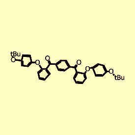 CC(C)(C)Oc1ccc(Oc2ccccc2C(=O)c2ccc(C(=O)c3ccccc3Oc3ccc(OC(C)(C)C)cc3)cc2)cc1